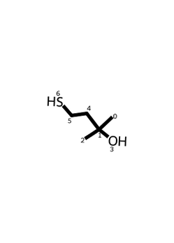 CC(C)(O)CCS